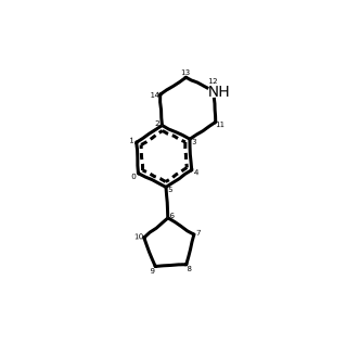 c1cc2c(cc1C1CCCC1)CNCC2